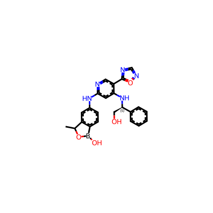 CC1OB(O)c2ccc(Nc3cc(N[C@H](CO)c4ccccc4)c(-c4ncno4)cn3)cc21